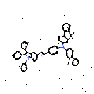 CC1(C)c2ccccc2-c2ccc(N(c3ccc(/C=C/c4ccc5c(c4)c(-c4ccccc4)c(-c4ccccc4)n5-c4ccccc4)cc3)c3ccc4c(c3)C(C)(C)c3ccccc3-4)cc21